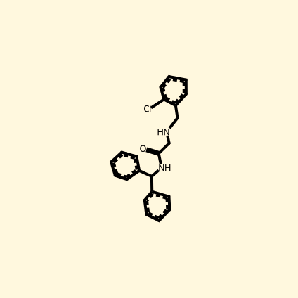 O=C(CNCc1ccccc1Cl)NC(c1ccccc1)c1ccccc1